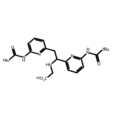 CC(C)(C)C(=O)Nc1cccc(CC(NCC(=O)O)c2cccc(NC(=O)C(C)(C)C)n2)n1